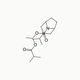 CC(OC(=O)C(C)C)OC(=O)N1C2CCC1CN(C(C)C)C2